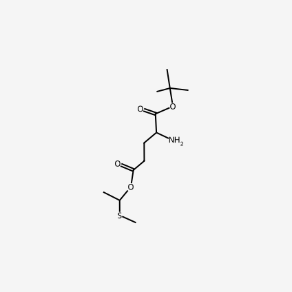 CSC(C)OC(=O)CCC(N)C(=O)OC(C)(C)C